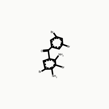 Nc1c(Br)cc(C(=O)c2cc(Br)cc(Br)c2)c(N)c1Br